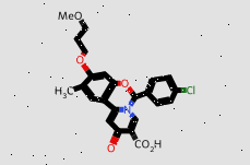 COCCCOc1cc2c(cc1C)-c1cc(=O)c(C(=O)O)cn1C(c1ccc(Cl)cc1)O2